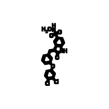 CNS(=O)(=O)c1ccc2c(c1)C(=Cc1cccc(Oc3ccc(Cl)c(Cl)c3)c1)C(=O)N2